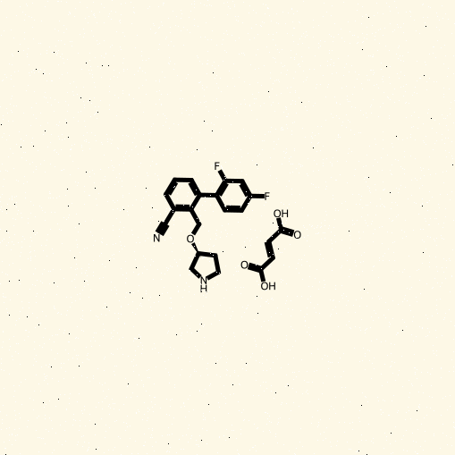 N#Cc1cccc(-c2ccc(F)cc2F)c1CO[C@H]1CCNC1.O=C(O)C=CC(=O)O